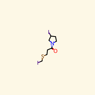 O=C(CCSCI)N1CCC(I)C1